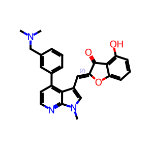 CN(C)Cc1cccc(-c2ccnc3c2c(/C=C2\Oc4cccc(O)c4C2=O)cn3C)c1